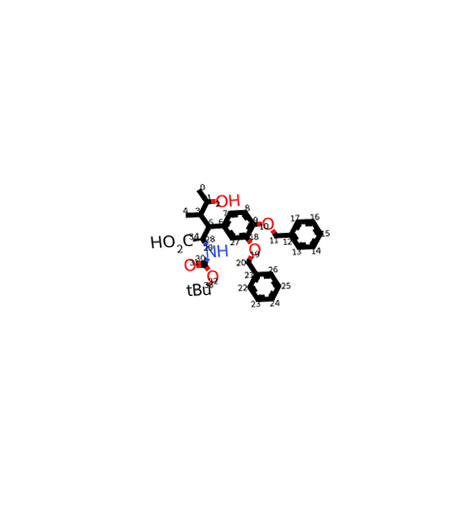 CC(O)C(C)C(c1ccc(OCc2ccccc2)c(OCc2ccccc2)c1)[C@@H](NC(=O)OC(C)(C)C)C(=O)O